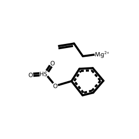 C=C[CH2][Mg+2].O=[SH](=O)Oc1ccccc1